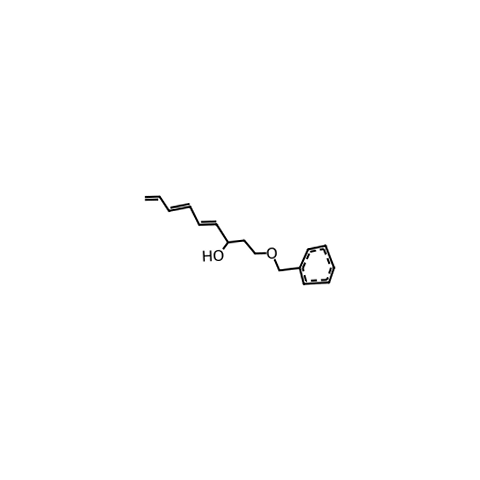 C=CC=CC=CC(O)CCOCc1ccccc1